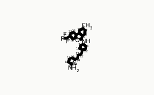 Cc1ccc(C(=O)Nc2ccc(CCCc3cccc(N)n3)cc2)c(-c2ccc(C(F)(F)F)cc2)c1